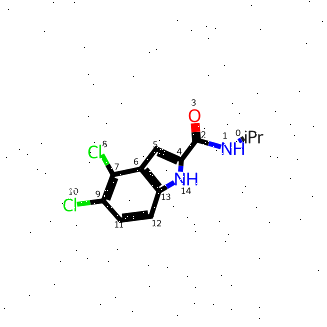 CC(C)NC(=O)c1cc2c(Cl)c(Cl)ccc2[nH]1